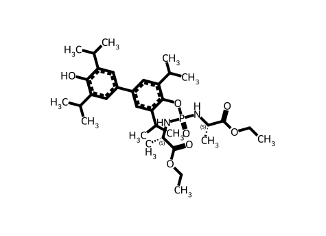 CCOC(=O)[C@H](C)NP(=O)(N[C@@H](C)C(=O)OCC)Oc1c(C(C)C)cc(-c2cc(C(C)C)c(O)c(C(C)C)c2)cc1C(C)C